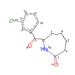 O=C1CCCCC(C(=O)c2cccc(Cl)c2)N1